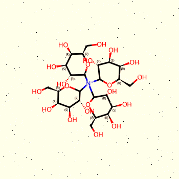 OC[C@H]1OC([N+](C2O[C@H](CO)[C@H](O)[C@H](O)[C@H]2O)(C2O[C@H](CO)[C@H](O)[C@H](O)[C@H]2O)C2O[C@H](CO)[C@H](O)[C@H](O)[C@H]2O)[C@H](O)[C@@H](O)[C@H]1O